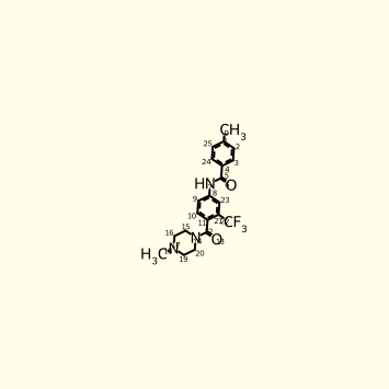 Cc1ccc(C(=O)Nc2ccc(C(=O)N3CCN(C)CC3)c(C(F)(F)F)c2)cc1